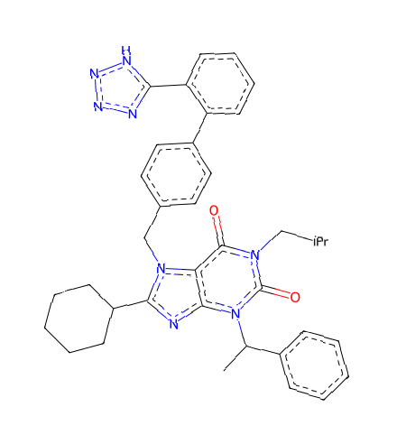 CC(C)Cn1c(=O)c2c(nc(C3CCCCC3)n2Cc2ccc(-c3ccccc3-c3nnn[nH]3)cc2)n(C(C)c2ccccc2)c1=O